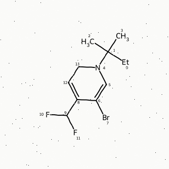 CCC(C)(C)N1C=C(Br)C(C(F)F)=CC1